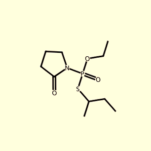 CCOP(=O)(SC(C)CC)N1CCCC1=O